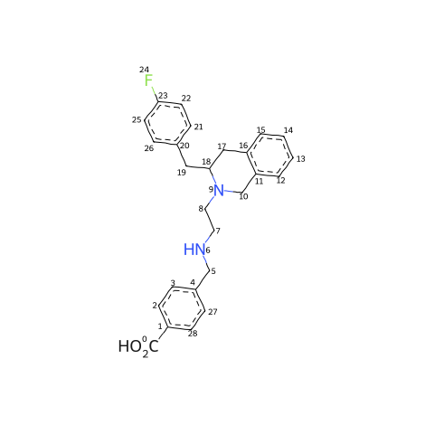 O=C(O)c1ccc(CNCCN2Cc3ccccc3CC2Cc2ccc(F)cc2)cc1